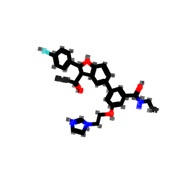 CNC(=O)C1c2cc(-c3cc(OCCn4ccnc4)cc(C(=O)NCC(C)C)c3)ccc2OC1c1ccc(F)cc1